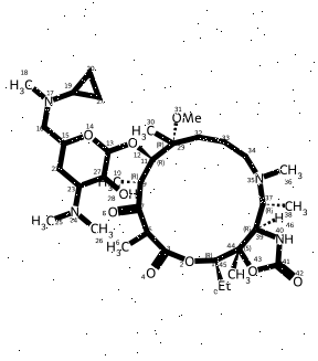 CC[C@H]1OC(=O)C(C)C(=O)[C@H](C)[C@@H](OC2OC(CN(C)C3CC3)CC(N(C)C)C2O)[C@](C)(OC)CCCN(C)[C@H](C)[C@H]2NC(=O)O[C@@]21C